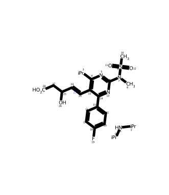 CC(C)NC(C)C.CC(C)c1nc(N(C)S(C)(=O)=O)nc(-c2ccc(F)cc2)c1/C=C/C(O)CC(=O)O